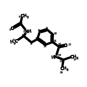 CC(=O)NC(C)Cc1cccc(C(=O)NC(C)C)c1